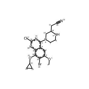 COc1cc2c(N3CCNC(CC#N)C3)nc(Cl)nc2c(OC2CC2)c1Br